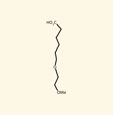 COCCOCCCCCC(=O)O